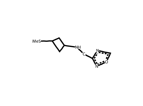 CSC1CC(NCc2ncon2)C1